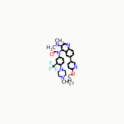 COc1ccc(-c2ccc3ncc(N(C)C)c(N(C=O)c4ccc(N5CCN(C)CC5)c(C(F)(F)F)c4)c3c2)cn1